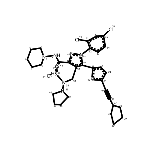 O=C(NN1CCCCC1)c1nn(-c2ccc(Cl)cc2Cl)c(-c2ccc(C#CC3CCCC3)s2)c1CN(N1CCCC1)[SH](=O)=O